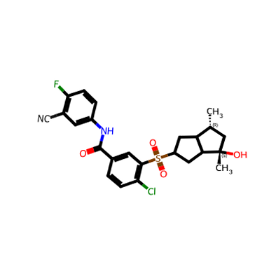 C[C@@H]1C[C@](C)(O)C2CC(S(=O)(=O)c3cc(C(=O)Nc4ccc(F)c(C#N)c4)ccc3Cl)CC21